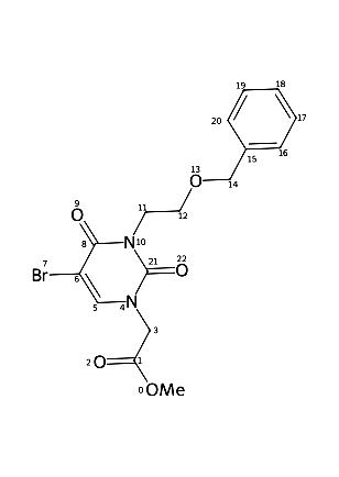 COC(=O)Cn1cc(Br)c(=O)n(CCOCc2ccccc2)c1=O